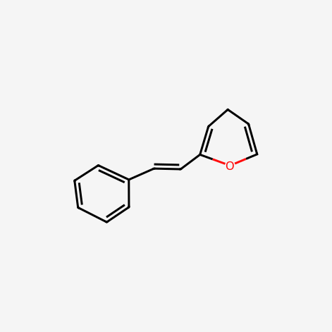 C1=COC(C=Cc2ccccc2)=CC1